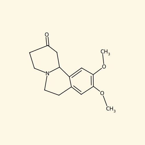 COc1cc2c(cc1OC)C1CC(=O)CCN1CC2